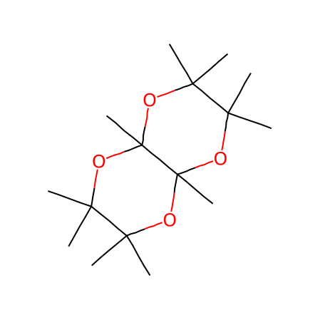 CC1(C)OC2(C)OC(C)(C)C(C)(C)OC2(C)OC1(C)C